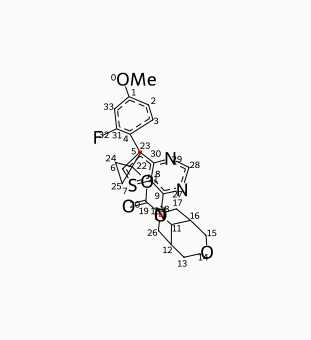 COc1ccc(-c2csc3c(OC4C5COCC4CN(C(=O)OC4(C)CC4)C5)ncnc23)c(F)c1